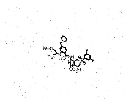 CCOC(=O)n1nc(NC(=O)c2ccc(CN3CCCC3)cc2NC(C)COC)c2c1CCN(S(=O)(=O)c1cc(F)cc(F)c1)C2